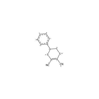 N#CC1=C(C#N)SC(c2ccccc2)CS1